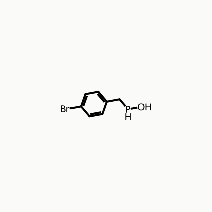 OPCc1ccc(Br)cc1